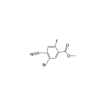 COC(=O)c1cc(Br)c(C#N)cc1F